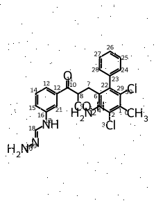 Cc1c(Cl)c(N)c(CC(C(=O)O)C(=O)c2cccc(NC=NN)c2)c(-c2ccccc2)c1Cl